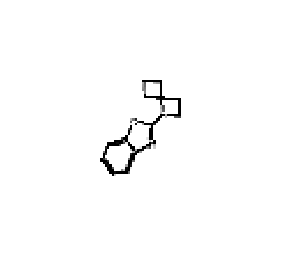 [c]1ccc2oc(N3CCC34CCC4)nc2c1